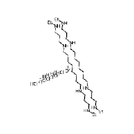 CCNCCCNCCCCCCCCNCCCNCC.CCNCCCNCCCCCCCCNCCCNCC.Cl.Cl.Cl.Cl.Cl.Cl.Cl.Cl.O